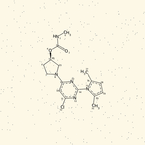 CNC(=O)O[C@@H]1CCN(c2cc(Cl)nc(-n3c(C)ccc3C)n2)C1